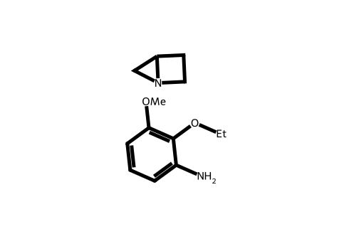 C1CN2CC12.CCOc1c(N)cccc1OC